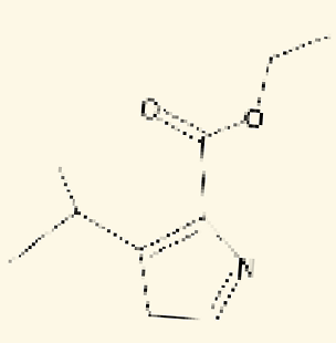 CCOC(=O)C1=C(C(C)C)CC=N1